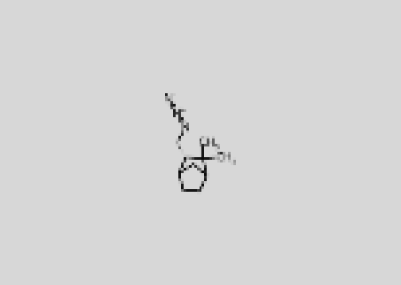 CC1(C)C2CCC(C2)[C@@H]1CN=[N+]=[N-]